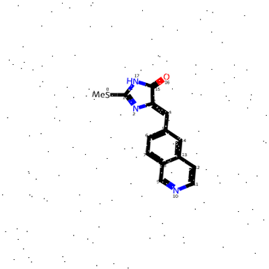 CSC1=N/C(=C\c2ccc3cnccc3c2)C(=O)N1